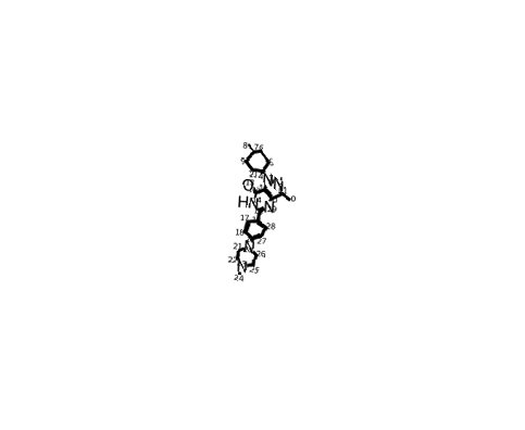 Cc1nn([C@H]2CC[C@H](C)CC2)c2c(=O)[nH]c(-c3ccc(N4CCN(C)CC4)cc3)nc12